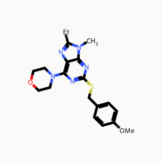 CCc1nc2c(N3CCOCC3)nc(SCc3ccc(OC)cc3)nc2n1C